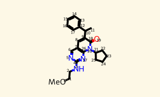 COCCNc1ncc2cc(C(C)c3ccccc3)c(=O)n(C3CCCC3)c2n1